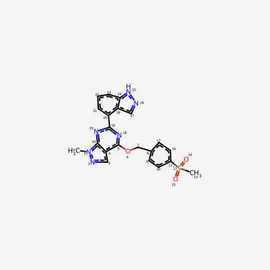 Cn1ncc2c(OCc3ccc(S(C)(=O)=O)cc3)nc(-c3cccc4[nH]ncc34)nc21